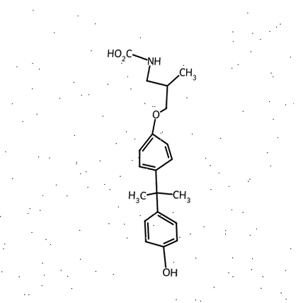 CC(CNC(=O)O)COc1ccc(C(C)(C)c2ccc(O)cc2)cc1